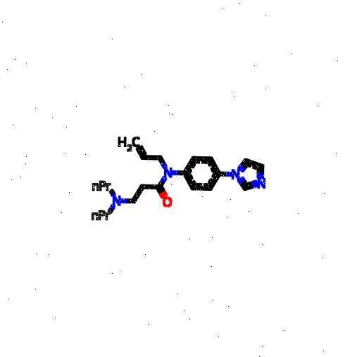 C=CCN(C(=O)CCN(CCC)CCC)c1ccc(-n2ccnc2)cc1